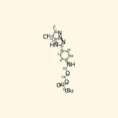 Cc1nn2nc(-c3ccc(NCOCOC(=O)C(C)(C)C)cc3)[nH]c2c1Cl